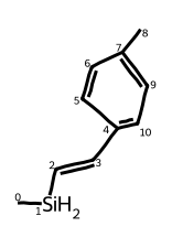 C[SiH2]C=Cc1ccc(C)cc1